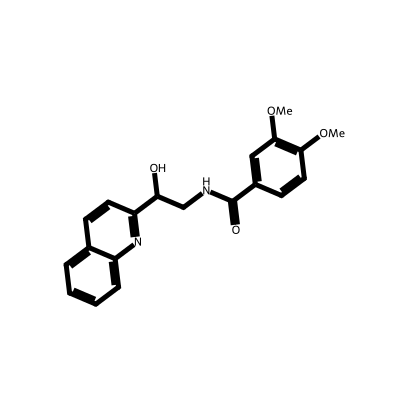 COc1ccc(C(=O)NCC(O)c2ccc3ccccc3n2)cc1OC